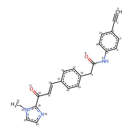 C#Cc1ccc(NC(=O)Cc2ccc(/C=C/C(=O)c3nccn3C)cc2)cc1